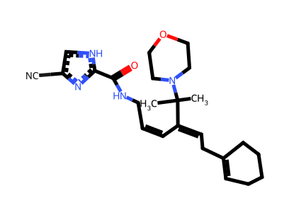 CC(C)(C(/C=C\CNC(=O)c1nc(C#N)c[nH]1)=C/CC1=CCCCC1)N1CCOCC1